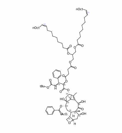 CCCCCCCC/C=C\CCCCCCCC(=O)OCC(COC(=O)CCC(=O)O[C@@H](C(=O)O[C@H]1C[C@@]2(O)[C@@H](OC(=O)c3ccccc3)C[C@@H]3[C@]4(OC(C)=O)CO[C@@H]4C[C@H](O)[C@@]3(C)C(=O)[C@H](O)C(=C1C)C2(C)C)[C@@H](NC(=O)OC(C)(C)C)c1ccccc1)OC(=O)CCCCCCC/C=C\CCCCCCCC